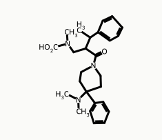 CC(c1ccccc1)C(CN(C)C(=O)O)C(=O)N1CCC(c2ccccc2)(N(C)C)CC1